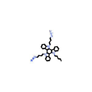 C/C=C/C=C/n1c2ccccc2c2c1c1c3ccccc3n(/C=C/C=C/N=[N+]=[N-])c1c1c3ccccc3n(/C=C/C=C/N=[N+]=[N-])c21